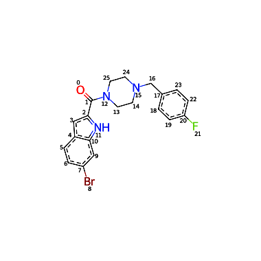 O=C(c1cc2ccc(Br)cc2[nH]1)N1CCN(Cc2ccc(F)cc2)CC1